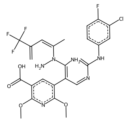 C=C(/N=C\C(=C(/N)N(N)/C(C)=C\C(=C)C(F)(F)F)c1cc(C(=O)O)c(OC)nc1OC)Nc1ccc(F)c(Cl)c1